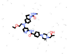 CCOCCN(c1ccnc(NC(=O)c2ccc(N3C[C@@H](C)N(CC(C)O)[C@@H](C)C3)cc2)c1)c1ccc2c(ccn2C(=O)NC)c1